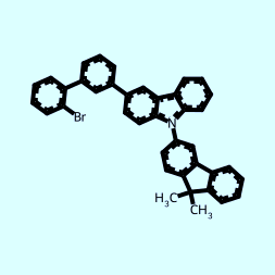 CC1(C)c2ccccc2-c2cc(-n3c4ccccc4c4cc(-c5cccc(-c6ccccc6Br)c5)ccc43)ccc21